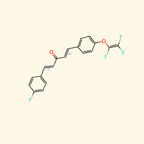 O=C(/C=C/c1ccc(F)cc1)/C=C/c1ccc(OC(F)=C(F)F)cc1